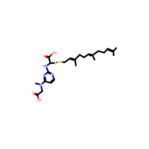 CC(C)=CCC/C(C)=C/CC/C(C)=C/CSCC(Nc1nccc(N(C)CC(=O)O)n1)C(=O)O